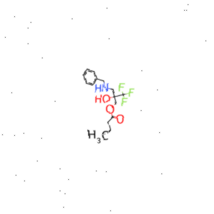 CCCC(=O)OCC(O)(CNCc1ccccc1)C(F)(F)F